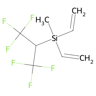 C=C[Si](C)(C=C)C(C(F)(F)F)C(F)(F)F